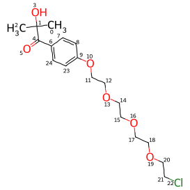 CC(C)(O)C(=O)c1ccc(OCCOCCOCCOCCCl)cc1